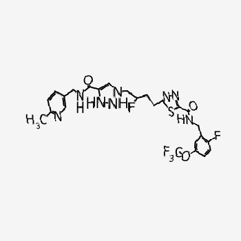 Cc1ccc(CNC(=O)C2=CN(CC(F)CCc3nnc(C(=O)NCc4cc(OC(F)(F)F)ccc4F)s3)NN2)cn1